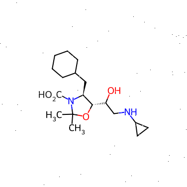 CC1(C)O[C@@H](C(O)CNC2CC2)[C@H](CC2CCCCC2)N1C(=O)O